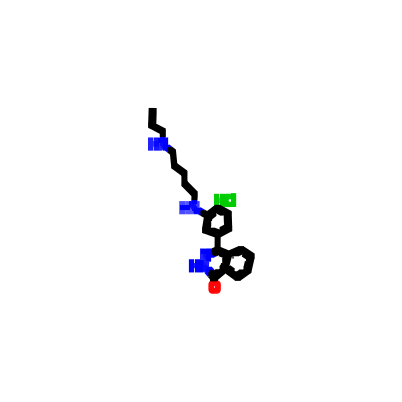 C=CCNCCCCCNc1cccc(-c2n[nH]c(=O)c3ccccc23)c1.Cl